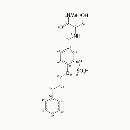 CNC(=O)C(CO)NCc1ccc(OCCCc2ccccc2)cc1.CS(=O)(=O)O